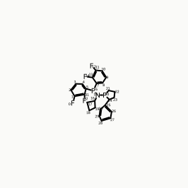 Fc1cccc(P(c2cccc(F)c2F)N(C2CCC2)P2CCCC2c2ccccc2)c1F